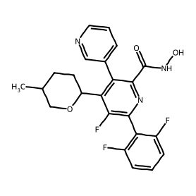 CC1CCC(c2c(F)c(-c3c(F)cccc3F)nc(C(=O)NO)c2-c2cccnc2)OC1